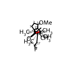 CO[C@@H]1CCC23CC[C@@H](C)[C@](C)(C12)[C@H](O)C[C@@](C)(CCF)C(=O)[C@@H]3C